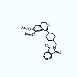 COc1cc2c(cc1OC)C(C1CCC(CN3C(=O)c4ccccc4C3=O)CC1)=NCC2